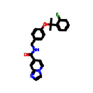 CC(C)(Oc1ccc(CNC(=O)c2ccn3ccnc3c2)cc1)c1ccccc1F